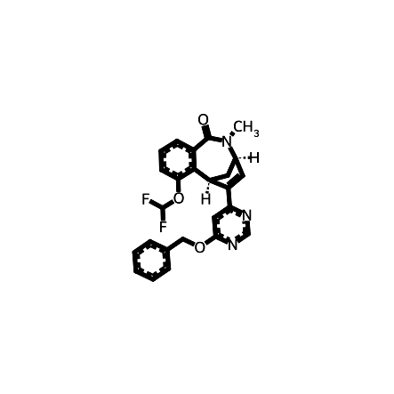 CN1C(=O)c2cccc(OC(F)F)c2[C@H]2C[C@@H]1C=C2c1cc(OCc2ccccc2)ncn1